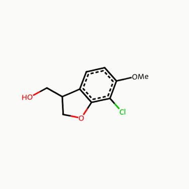 COc1ccc2c(c1Cl)OCC2CO